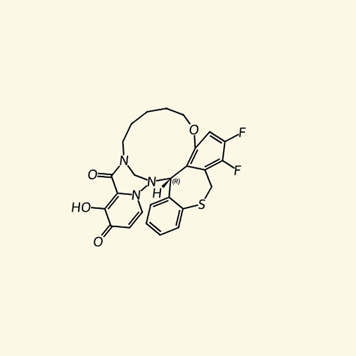 O=C1c2c(O)c(=O)ccn2N2CN1CCCCCOc1cc(F)c(F)c3c1[C@@H]2c1ccccc1SC3